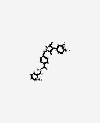 Cc1nn(Cc2ccc(C(=O)NCc3cccc[n+]3[O-])cc2)c(C)c1-c1ccc(C#N)c(Cl)c1